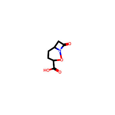 O=C(O)C1CCC2CC(=O)N2O1